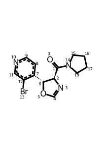 O=C([C@H]1N=CO[C@@H]1c1ccncc1Br)N1CCCC1